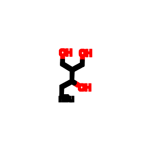 CCCCCC(O)C(CO)CO